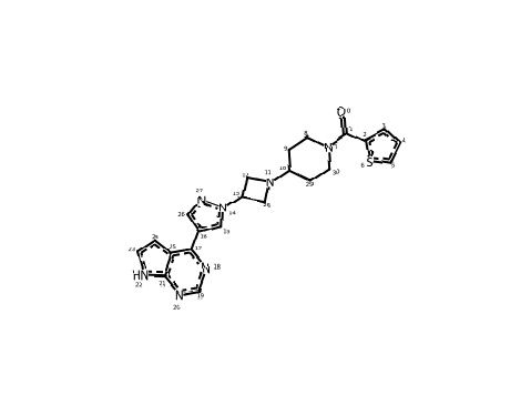 O=C(c1cccs1)N1CCC(N2C[C](n3cc(-c4ncnc5[nH]ccc45)cn3)C2)CC1